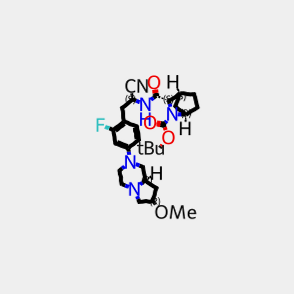 CO[C@@H]1C[C@@H]2CN(c3ccc(C[C@@H](C#N)NC(=O)[C@@H]4[C@H]5CC[C@H](C5)N4C(=O)OC(C)(C)C)c(F)c3)CCN2C1